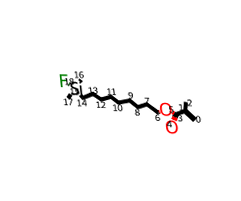 C=C(C)C(=O)OCCCCCCCCC[Si](C)(C)F